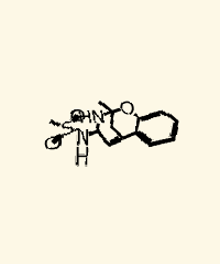 CC12CC(=CC(NS(C)(=O)=O)N1)c1ccccc1O2